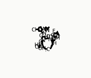 Cc1cn2c(n1)nc(O[C@@H]1C[C@H]3C(=O)N[C@]4(C(=O)NS(=O)(=O)C5(CF)CC5)C[C@H]4/C=C\CC[C@H](C)C[C@@H](C)[C@H](NC(=O)O)C(=O)N3C1)c1cc(Cl)ccc12